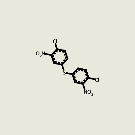 O=[N+]([O-])c1cc(Sc2ccc(Cl)c([N+](=O)[O-])c2)ccc1Cl